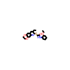 CCOc1ccccc1NC(=O)CSc1nc2cc3c(cc2cc1CC)OCCO3